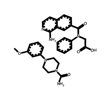 COc1cccc(N2CCN(C(N)=O)CC2)c1.Nc1nccc2ccc(C(=O)N(CC(=O)O)c3ccccc3)cc12